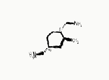 C=C1C[C@H](CN)CC[C@@H]1CN